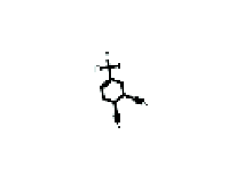 N#CC1CC=C(C(F)(F)F)CC1C#N